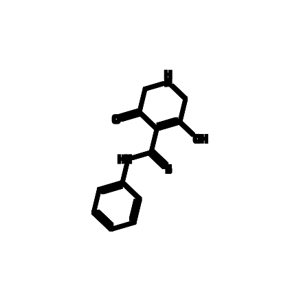 O=C1CNCC(O)=C1C(=S)Nc1ccccc1